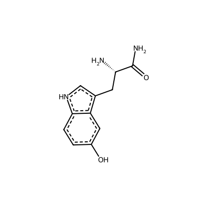 NC(=O)[C@@H](N)Cc1c[nH]c2ccc(O)cc12